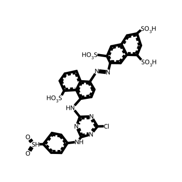 O=[SH](=O)c1ccc(Nc2nc(Cl)nc(Nc3ccc(N=Nc4cc5c(S(=O)(=O)O)cc(S(=O)(=O)O)cc5cc4S(=O)(=O)O)c4cccc(S(=O)(=O)O)c34)n2)cc1